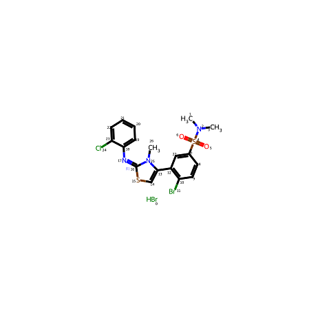 Br.CN(C)S(=O)(=O)c1ccc(Br)c(-c2cs/c(=N/c3ccccc3Cl)n2C)c1